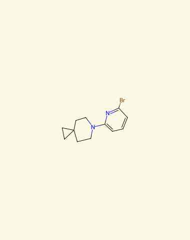 Brc1cccc(N2CCC3(CC2)CC3)n1